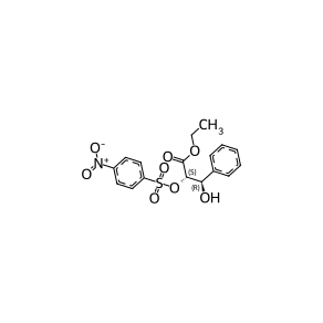 CCOC(=O)[C@@H](OS(=O)(=O)c1ccc([N+](=O)[O-])cc1)[C@H](O)c1ccccc1